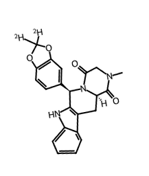 [2H]C1([2H])Oc2ccc([C@@H]3c4[nH]c5ccccc5c4C[C@@H]4C(=O)N(C)CC(=O)N34)cc2O1